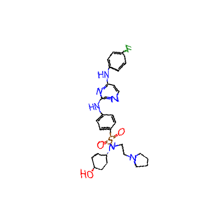 O=S(=O)(c1ccc(Nc2nccc(Nc3ccc(F)cc3)n2)cc1)N(CCN1CCCC1)[C@H]1CC[C@H](O)CC1